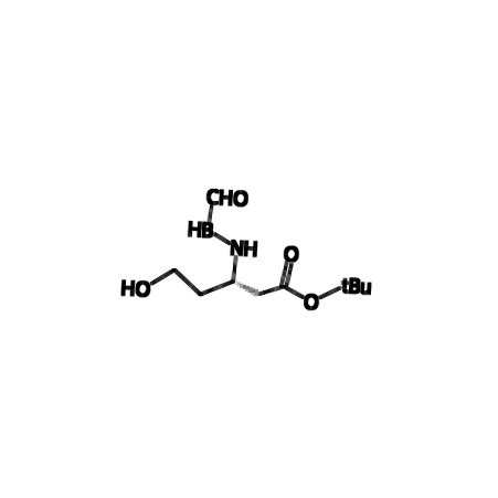 CC(C)(C)OC(=O)C[C@H](CCO)NBC=O